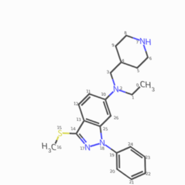 CCN(CC1CCNCC1)c1ccc2c(SC)nn(-c3ccccc3)c2c1